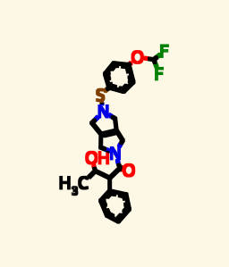 CC(O)C(C(=O)N1CC2=C(CN(Sc3ccc(OC(F)F)cc3)C2)C1)c1ccccc1